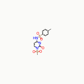 Cc1ccc(S(=O)(=O)Nc2ccn(S(C)(=O)=O)c(=O)n2)cc1